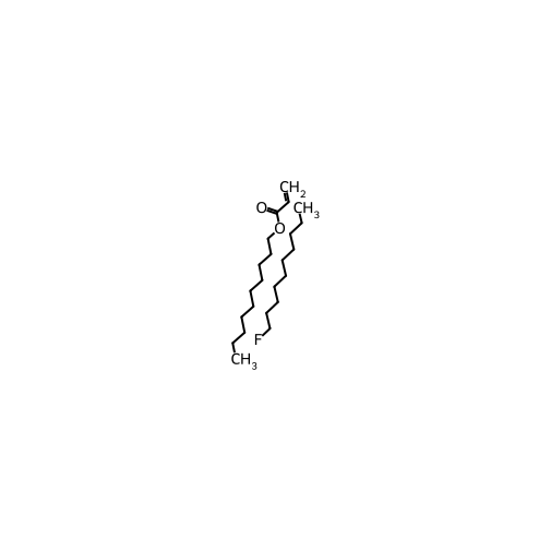 C=CC(=O)OCCCCCCCCCC.CCCCCCCCCCF